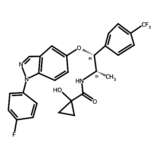 C[C@H](NC(=O)C1(O)CC1)[C@H](Oc1ccc2c(cnn2-c2ccc(F)cc2)c1)c1ccc(C(F)(F)F)cc1